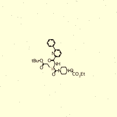 CCOC(=O)ON1CCN(C(=O)[C@H](CCC(=O)OC(C)(C)C)NC(=O)c2cccc(-c3ccccc3)n2)CC1